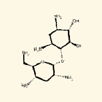 NC[C@H]1O[C@H](O[C@H]2[C@H](O)[C@@H](O)[C@H](N)C[C@@H]2N)[C@H](N)C[C@@H]1O